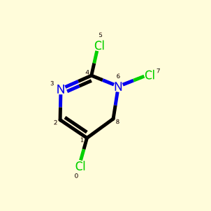 ClC1=CN=C(Cl)N(Cl)C1